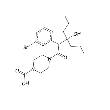 CCCC(O)(CCC)C(C(=O)N1CCN(C(=O)O)CC1)c1cccc(Br)c1